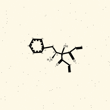 C=CC(=O)C(O)(C(=O)C=C)[C@@H](N)Cc1ccccc1